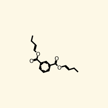 CCC=COC(=O)c1cccc(C(=O)OC=CCC)c1